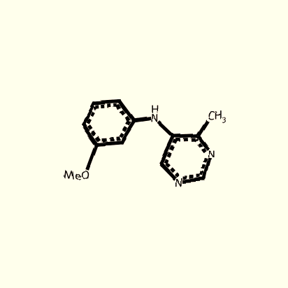 COc1cccc(Nc2cncnc2C)c1